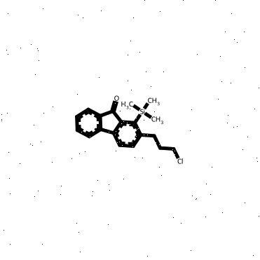 C[Si](C)(C)c1c(CCCCl)ccc2c1C(=O)c1ccccc1-2